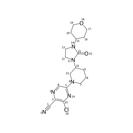 N#Cc1ncc(N2CCCC(N3CCN(C4CCOCC4)C3=O)C2)nc1Cl